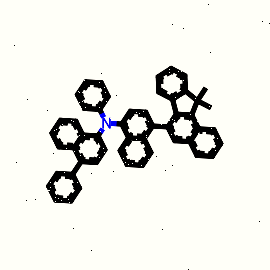 CC1(C)c2ccccc2-c2c(-c3ccc(N(c4ccccc4)c4ccc(-c5ccccc5)c5ccccc45)c4ccccc34)cc3ccccc3c21